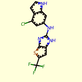 FC(F)(F)c1cc2[nH]c(Nc3cc(Cl)c4cc[nH]c4c3)nc2s1